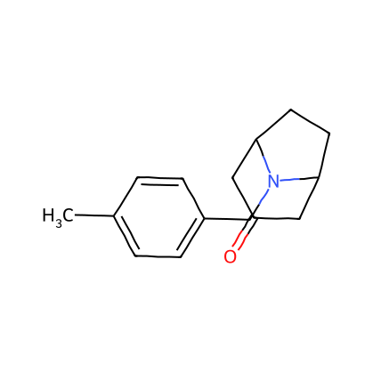 Cc1ccc(CN2C3CCC2CC(=O)C3)cc1